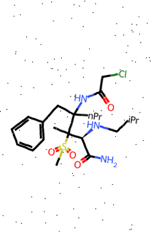 CCCC(Cc1ccccc1)(NC(=O)CCl)C(C)([C@@H](NCC(C)C)C(N)=O)S(C)(=O)=O